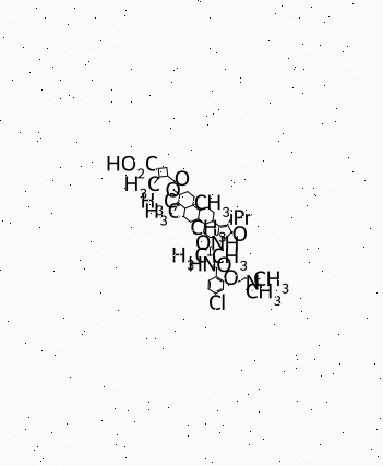 CC(C)C1=C2C3CCC4C(C)(CCC5C(C)(C)C(OC(=O)C6CC(C(=O)O)C6C)CCC54C)C3CCC2(NC(=O)C(C)(C)NC(=O)c2ccc(Cl)cc2OCCN(C)C)CC1=O